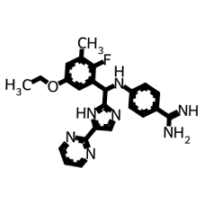 CCOc1cc(C)c(F)c(C(Nc2ccc(C(=N)N)cc2)c2ncc(-c3ncccn3)[nH]2)c1